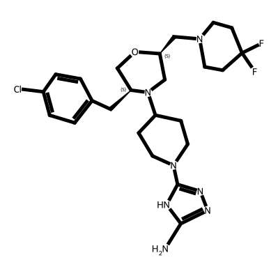 Nc1nnc(N2CCC(N3C[C@H](CN4CCC(F)(F)CC4)OC[C@@H]3Cc3ccc(Cl)cc3)CC2)[nH]1